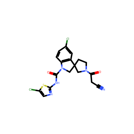 N#CCC(=O)N1CCC2(C1)CN(C(=O)Nc1ncc(Cl)s1)c1ccc(Cl)cc12